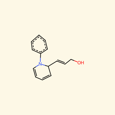 OCC=CC1C=CC=CN1c1ccccc1